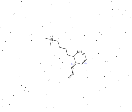 C=N/C=C(\C=C/C)C(N)CCCC[Si](C)(C)C